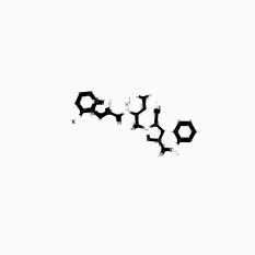 COc1cccc2[nH]c(C(=O)N(C)C(CC(C)C)C(=O)N3CC(C(=O)N(C)c4ccccc4)CC3C#N)cc12